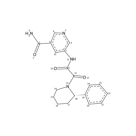 NC(=O)c1cncc(NC(=O)C(=O)N2CCCC[C@H]2c2ccccc2)c1